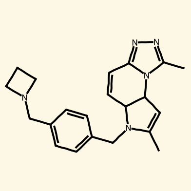 CC1=CC2C(C=Cc3nnc(C)n32)N1Cc1ccc(CN2CCC2)cc1